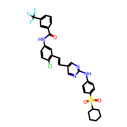 O=C(Nc1ccc(Cl)c(/C=C/c2cnc(Nc3ccc(S(=O)(=O)C4CCCCC4)cc3)nc2)c1)c1cccc(C(F)(F)F)c1